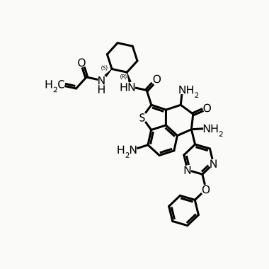 C=CC(=O)N[C@H]1CCCC[C@H]1NC(=O)c1sc2c(N)ccc3c2c1C(N)C(=O)C3(N)c1cnc(Oc2ccccc2)nc1